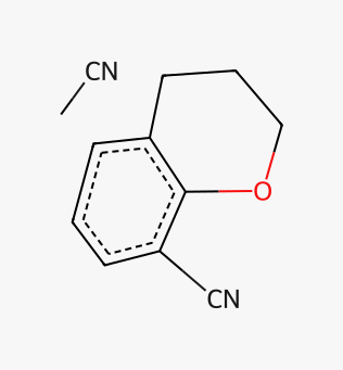 CC#N.N#Cc1cccc2c1OCCC2